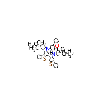 CC(C)(C)c1ccc(N2B3c4cc5oc6ccccc6c5cc4-n4c5ccc(C(C)(C)C)cc5c5c6c(sc7ccccc76)c(c3c54)-c3cc4sc5ccccc5c4cc32)cc1